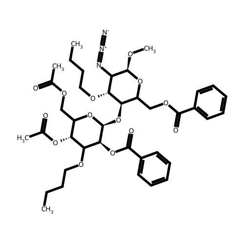 CCCCOC1[C@H](OC(C)=O)C(COC(C)=O)O[C@@H](O[C@@H]2C(COC(=O)c3ccccc3)O[C@H](OC)C(N=[N+]=[N-])[C@H]2OCCCC)[C@H]1OC(=O)c1ccccc1